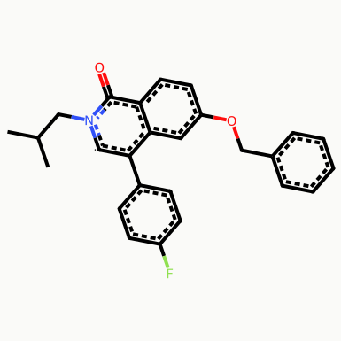 CC(C)Cn1[c]c(-c2ccc(F)cc2)c2cc(OCc3ccccc3)ccc2c1=O